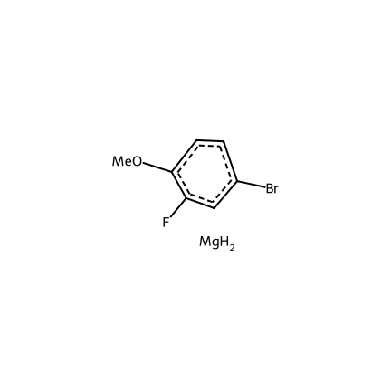 COc1ccc(Br)cc1F.[MgH2]